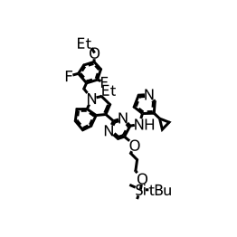 CCOc1cc(F)c(CN2c3ccccc3C(c3ncc(OCCCO[Si](C)(C)C(C)(C)C)c(Nc4ccncc4C4CC4)n3)=CC2CC)c(F)c1